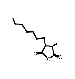 CCCCCCCC1C(=O)OC(=O)C1C